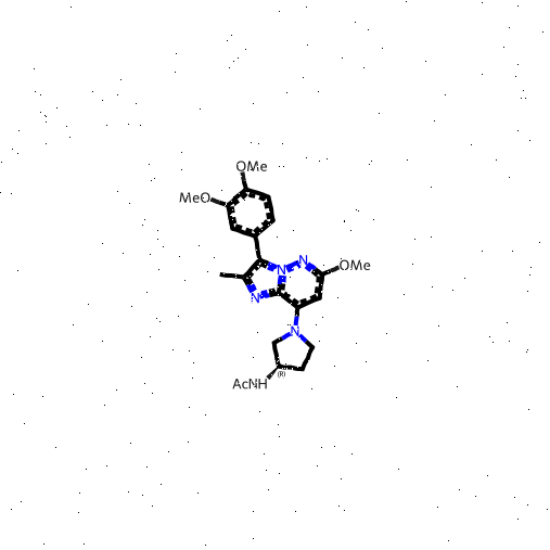 COc1cc(N2CC[C@@H](NC(C)=O)C2)c2nc(C)c(-c3ccc(OC)c(OC)c3)n2n1